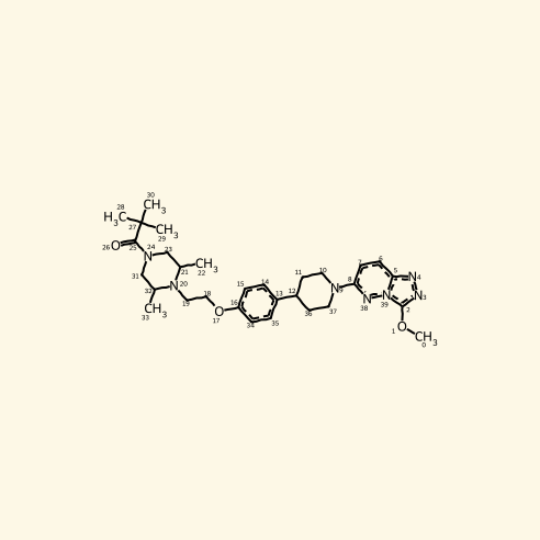 COc1nnc2ccc(N3CCC(c4ccc(OCCN5C(C)CN(C(=O)C(C)(C)C)CC5C)cc4)CC3)nn12